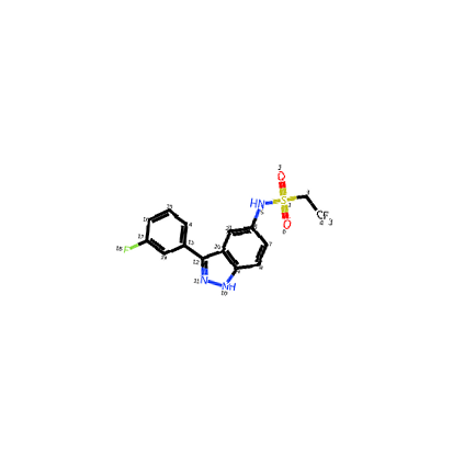 O=S(=O)(CC(F)(F)F)Nc1ccc2[nH]nc(-c3cccc(F)c3)c2c1